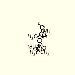 Cc1c(C=C2C(=O)Nc3ccc(F)cc32)[nH]c2c1CCC(CNC(=O)[C@H](C)N(C)C(=O)OC(C)(C)C)C2